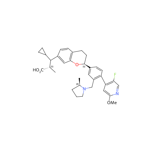 COc1cc(-c2ccc([C@@H]3CCc4ccc(C(C5CC5)[C@H](C)C(=O)O)cc4O3)cc2CN2CCC[C@H]2C)c(F)cn1